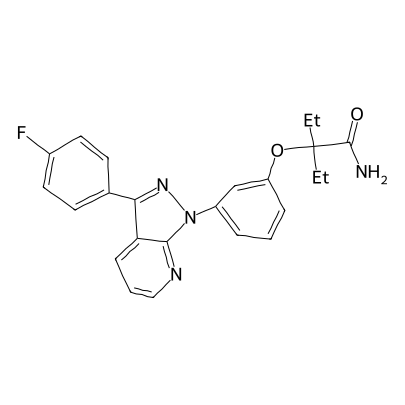 CCC(CC)(Oc1cccc(-n2nc(-c3ccc(F)cc3)c3cccnc32)c1)C(N)=O